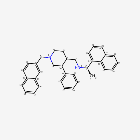 C[C@@H](NCC1CCN(Cc2ccc3ccccc3c2)CC1c1ccccc1)c1cccc2ccccc12